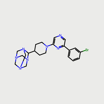 Brc1cccc(-c2cncc(N3CCC(C4N5CN6CN(C5)CN4C6)CC3)n2)c1